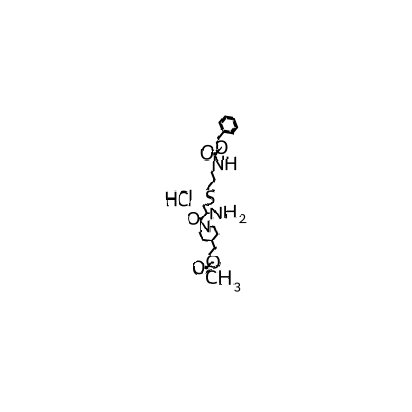 CC(=O)OCCC1CCN(C(=O)C(N)CSCCCNC(=O)OCc2ccccc2)CC1.Cl